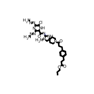 CCCOC(=O)CCc1ccc(CCC(=O)N2CCC3(CC2)CN(N)/C(=N\C(=O)C2NC(Cl)=C(N=NN)N=C2N=NN)N3)cc1